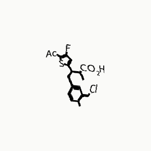 CC(=O)c1sc(C(Cc2ccc(C)c(CCl)c2)C(C)C(=O)O)cc1F